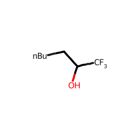 [CH2]CCCCC(O)C(F)(F)F